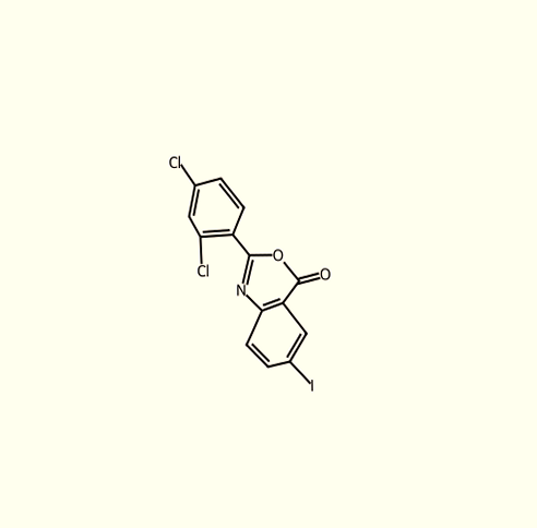 O=c1oc(-c2ccc(Cl)cc2Cl)nc2ccc(I)cc12